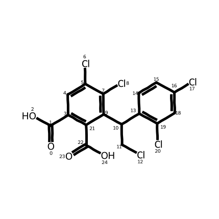 O=C(O)c1cc(Cl)c(Cl)c(C(CCl)c2ccc(Cl)cc2Cl)c1C(=O)O